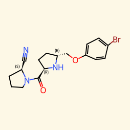 N#C[C@@H]1CCCN1C(=O)[C@H]1CC[C@H](COc2ccc(Br)cc2)N1